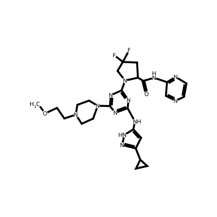 COCCN1CCN(c2nc(Nc3cc(C4CC4)n[nH]3)nc(N3CC(F)(F)CC3C(=O)Nc3cnccn3)n2)CC1